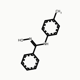 Cc1ccc(NC(=NO)c2ccccc2)cc1